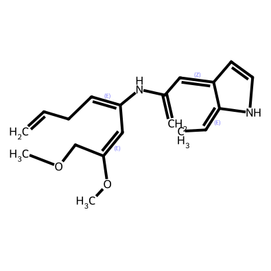 C=CC/C=C(\C=C(/COC)OC)NC(=C)/C=c1/cc[nH]/c1=C/C